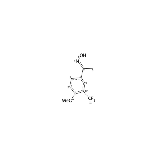 COc1ccc(C(C)=NO)cc1C(F)(F)F